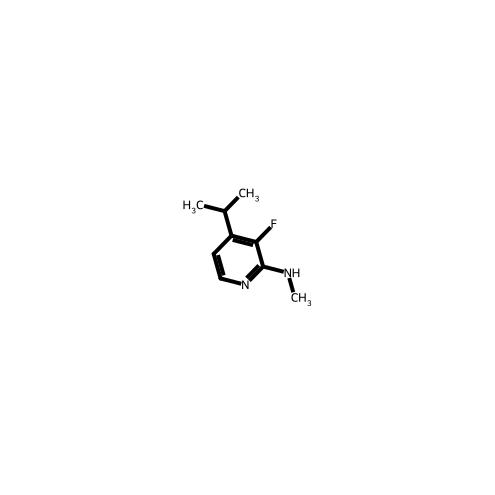 CNc1nccc(C(C)C)c1F